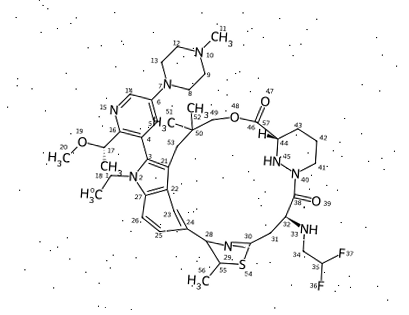 CCn1c(-c2cc(N3CCN(C)CC3)cnc2[C@H](C)OC)c2c3cc(ccc31)C1N=C(C[C@H](NCC(F)F)C(=O)N3CCC[C@H](N3)C(=O)OCC(C)(C)C2)SC1C